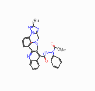 COC(=O)N(NC(=O)c1c(CN2CCn3nc(C(C)(C)C)nc3C2)c(-c2ccccc2)nc2ccccc12)c1ccccc1